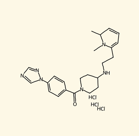 CC1C=CC=C(CCNC2CCN(C(=O)c3ccc(-n4cncn4)cc3)CC2)N1C.Cl.Cl.Cl